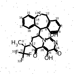 C[C@@H](N1CC(C2c3c#cccc3CSc3ccccc32)n2c(O)nc(=O)c(O)c2C1=O)C(F)(F)F